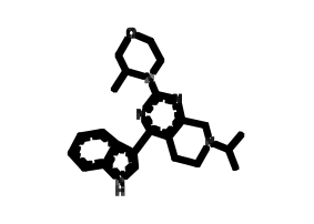 CC(C)N1CCc2c(nc(N3CCOCC3C)nc2-c2c[nH]c3ccccc23)C1